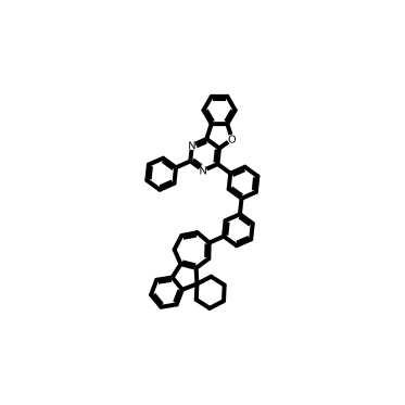 C1=CC(c2cccc(-c3cccc(-c4nc(-c5ccccc5)nc5c4oc4ccccc45)c3)c2)=CC2=C(C1)c1ccccc1C21CCCCC1